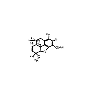 [2H]OC1([2H])C=C[C@H]2[C@H]3Cc4c([2H])c([2H])c(OC)c5c4[C@@]2(CCN3C)C1O5